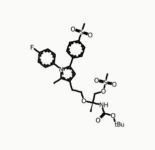 Cc1c(CCO[C@](C)(COS(C)(=O)=O)NC(=O)OC(C)(C)C)cc(-c2ccc(S(C)(=O)=O)cc2)n1-c1ccc(F)cc1